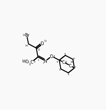 O=C(O)C(=NOC12CCC(CC1)CC2)C(=O)CBr